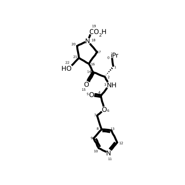 CC(C)C[C@H](NC(=O)OCc1ccncc1)C(=O)C1CN(C(=O)O)CC1O